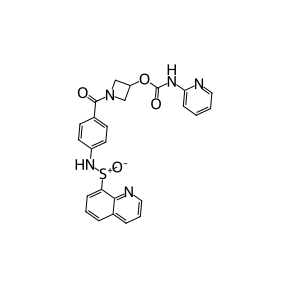 O=C(Nc1ccccn1)OC1CN(C(=O)c2ccc(N[S+]([O-])c3cccc4cccnc34)cc2)C1